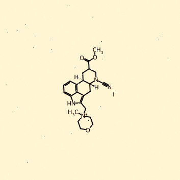 COC(=O)C1C[C@@H]2c3cccc4[nH]c(C[N+]5(C)CCOCC5)c(c34)C[C@H]2N(C#N)C1.[I-]